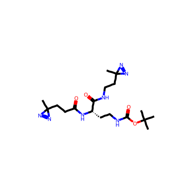 CC1(CCNC(=O)[C@H](CCNC(=O)OC(C)(C)C)NC(=O)CCC2(C)N=N2)N=N1